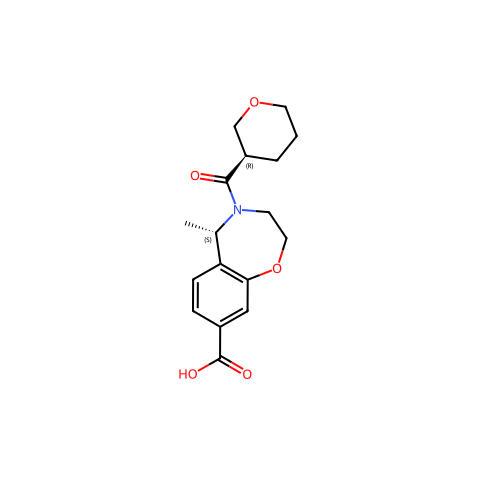 C[C@H]1c2ccc(C(=O)O)cc2OCCN1C(=O)[C@@H]1CCCOC1